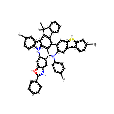 CC(C)(C)c1ccc(N2B3c4cc5nc(-c6ccccc6)oc5cc4-n4c5ccc(C(C)(C)C)cc5c5c6c(c(c3c54)-c3cc4sc5cc(C(C)(C)C)ccc5c4cc32)-c2ccccc2C6(C)C)cc1